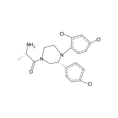 C[C@H](N)C(=O)N1CCN(c2ccc(Cl)cc2Cl)[C@H](c2ccc(Cl)cc2)C1